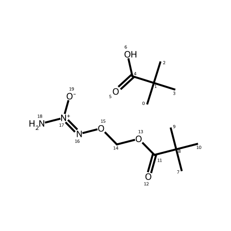 CC(C)(C)C(=O)O.CC(C)(C)C(=O)OCON=[N+](N)[O-]